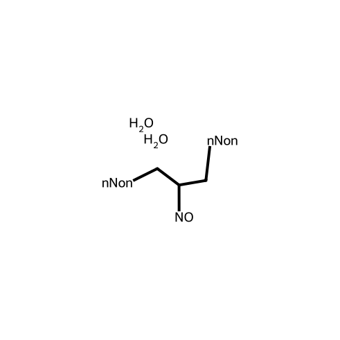 CCCCCCCCCCC(CCCCCCCCCC)N=O.O.O